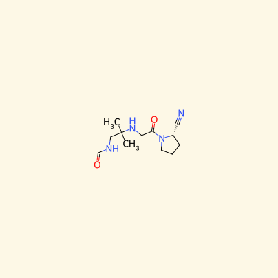 CC(C)(CNC=O)NCC(=O)N1CCC[C@H]1C#N